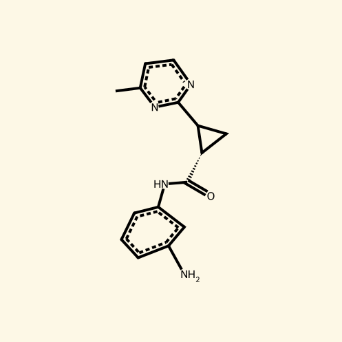 Cc1ccnc(C2C[C@@H]2C(=O)Nc2cccc(N)c2)n1